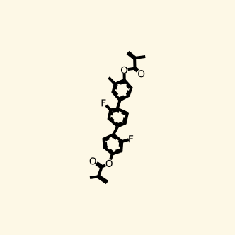 C=C(C)C(=O)Oc1ccc(-c2ccc(-c3ccc(OC(=O)C(=C)C)c(C)c3)c(F)c2)c(F)c1